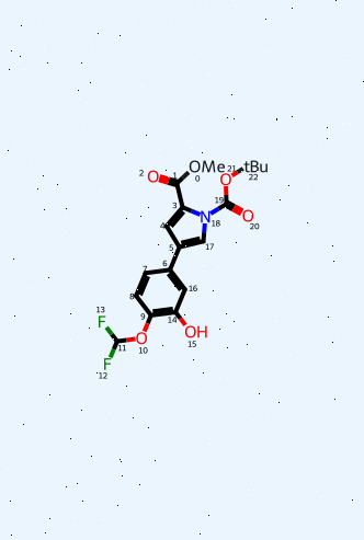 COC(=O)c1cc(-c2ccc(OC(F)F)c(O)c2)cn1C(=O)OC(C)(C)C